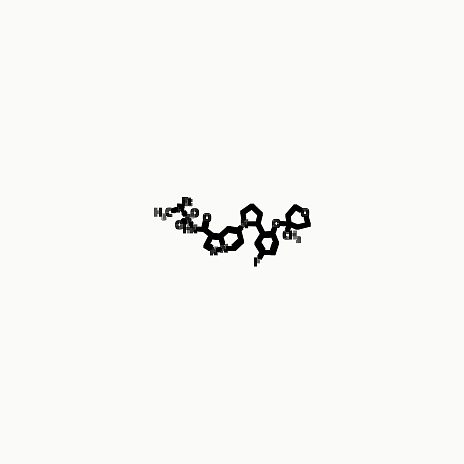 CCN(C)S(=O)(=O)NC(=O)c1cnn2ccc(N3CCCC3c3cc(F)ccc3OC3(C)CCOCC3)cc12